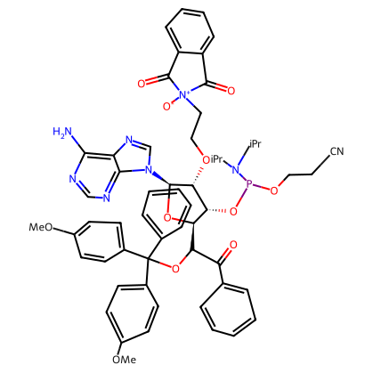 COc1ccc(C(OC(C(=O)c2ccccc2)[C@H]2O[C@@H](n3cnc4c(N)ncnc43)[C@H](OCC[N+]3([O-])C(=O)c4ccccc4C3=O)[C@@H]2OP(OCCC#N)N(C(C)C)C(C)C)(c2ccccc2)c2ccc(OC)cc2)cc1